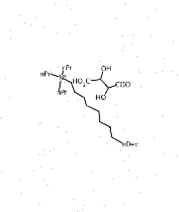 CCCCCCCCCCCCCCCCCC[N+](CCC)(CCC)CCC.O=C([O-])C(O)C(O)C(=O)O